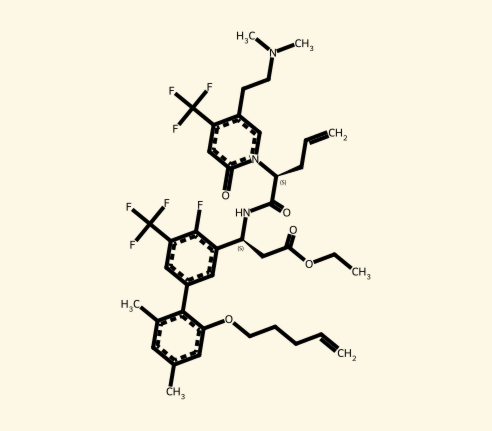 C=CCCCOc1cc(C)cc(C)c1-c1cc([C@H](CC(=O)OCC)NC(=O)[C@H](CC=C)n2cc(CCN(C)C)c(C(F)(F)F)cc2=O)c(F)c(C(F)(F)F)c1